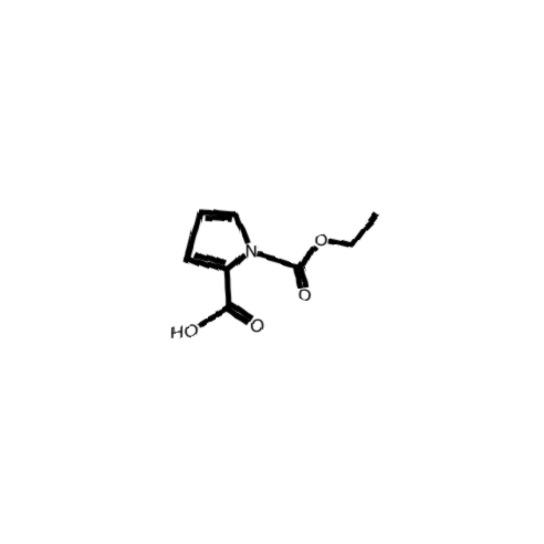 CCOC(=O)n1cccc1C(=O)O